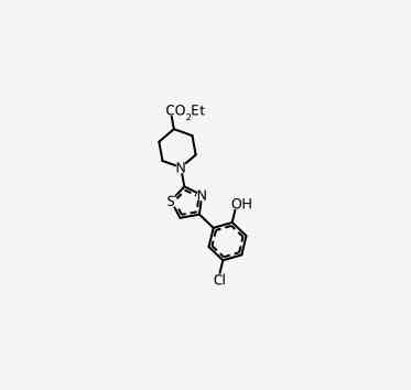 CCOC(=O)C1CCN(c2nc(-c3cc(Cl)ccc3O)cs2)CC1